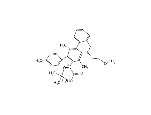 COCCN1Cc2ccccc2-c2c(C)c(-c3ccc(C)cc3)c([C@H](OC(C)(C)C)C(=O)O)c(C)c21